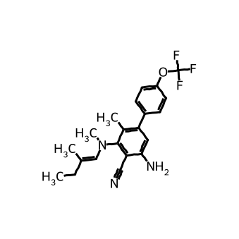 CC/C(C)=C/N(C)c1c(C)c(-c2ccc(OC(F)(F)F)cc2)cc(N)c1C#N